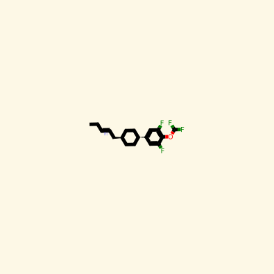 CC/C=C/C[C@H]1CC[C@H](c2cc(F)c(OC(F)F)c(F)c2)CC1